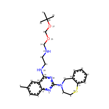 Cc1ccc2nc(N3CCSc4ccccc4C3)nc(NCCNCOCOC(C)(C)C)c2c1